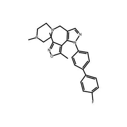 Cc1noc(C)c1-c1c(CN2CCN(C)CC2)cnn1-c1ccc(-c2ccc(F)cc2)cc1